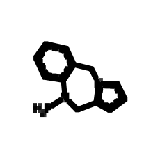 PN1Cc2cccn2Cc2ccccc21